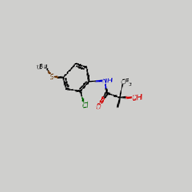 CC(C)(C)Sc1ccc(NC(=O)C(C)(O)C(F)(F)F)c(Cl)c1